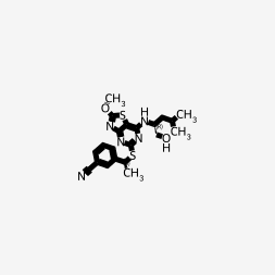 COc1nc2nc(S[C@@H](C)c3cccc(C#N)c3)nc(N[C@@H](CO)CC(C)C)c2s1